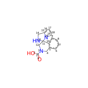 O=C(O)N1Cc2ccccc2C2(C1)NCC1=CC=CCN12